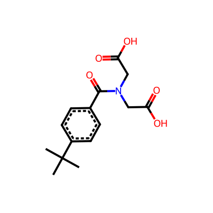 CC(C)(C)c1ccc(C(=O)N(CC(=O)O)CC(=O)O)cc1